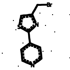 BrCc1csc(-c2ccncc2)n1